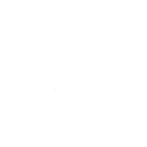 CC1C2CCC(C2)C1(C)CCC=O